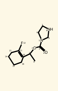 CC(OC(=O)N1CCNC1)C1=C(F)CCCC1